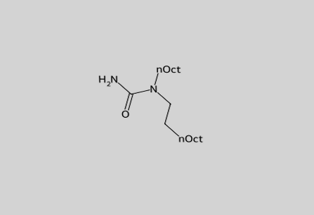 CCCCCCCCCCN(CCCCCCCC)C(N)=O